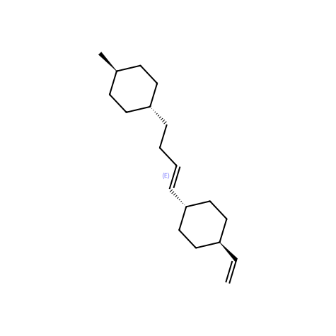 C=C[C@H]1CC[C@H](/C=C/CC[C@H]2CC[C@H](C)CC2)CC1